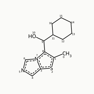 Cc1sc2cncn2c1C(O)C1CCCCC1